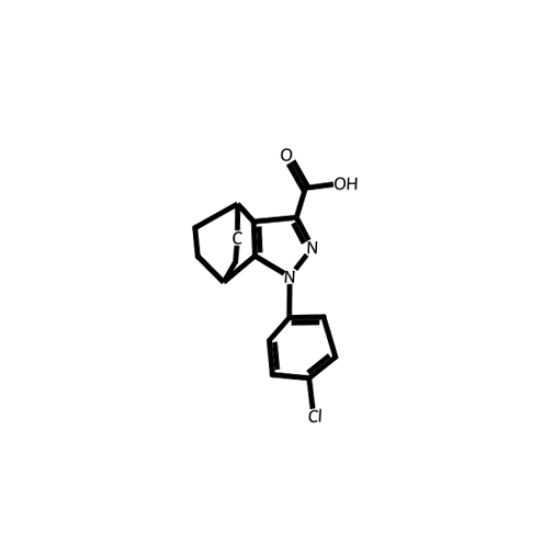 O=C(O)c1nn(-c2ccc(Cl)cc2)c2c1C1CCC2CC1